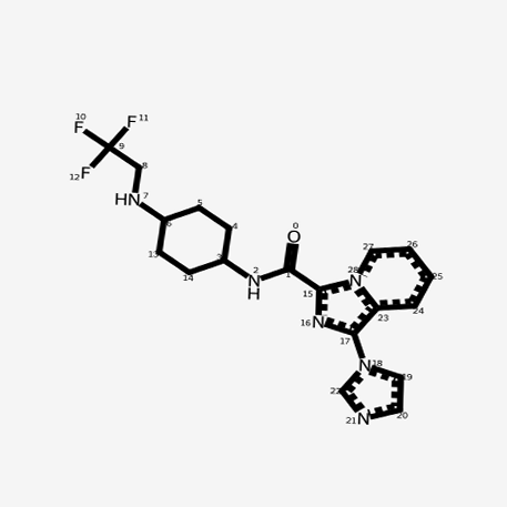 O=C(NC1CCC(NCC(F)(F)F)CC1)c1nc(-n2ccnc2)c2ccccn12